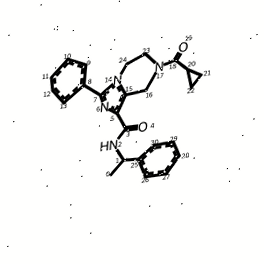 CC(NC(=O)c1nc(-c2ccccc2)n2c1CN(C(=O)C1CC1)CC2)c1ccccc1